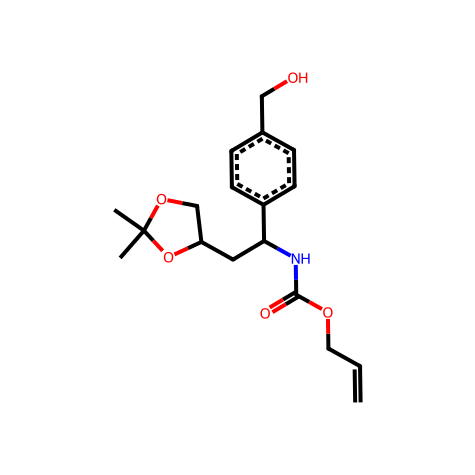 C=CCOC(=O)NC(CC1COC(C)(C)O1)c1ccc(CO)cc1